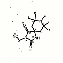 CN1C(C)(C)CC2(CC1(C)C)NC(=O)N(CC#N)C2=O